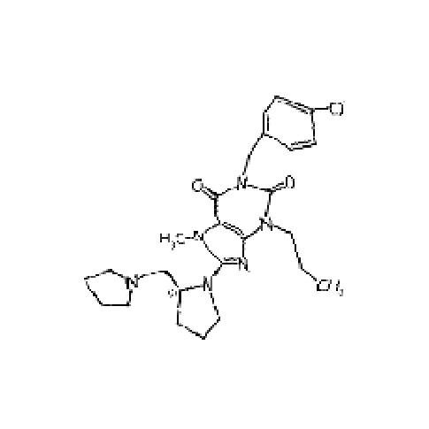 CCCn1c(=O)n(Cc2ccc(Cl)cc2)c(=O)c2c1nc(N1CCC[C@H]1CN1CCCC1)n2C